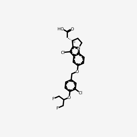 O=C(O)C[C@@H]1CCn2c1c(Cl)c1cc(OCc3ccc(OC(CF)CF)c(Cl)c3)ccc12